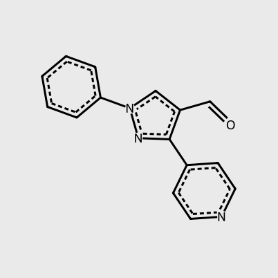 O=Cc1cn(-c2ccccc2)nc1-c1ccncc1